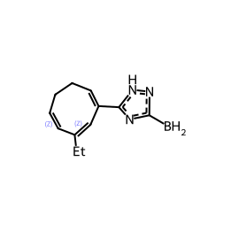 Bc1n[nH]c(C2=CCC/C=C\C(CC)=C/2)n1